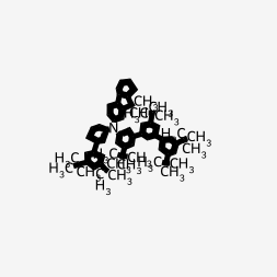 CC(C)(C)c1cc(-c2cc(N(c3cccc(-c4cc(C(C)(C)C)cc(C(C)(C)C)c4)c3)c3ccc4c(c3)C(C)(C)c3ccccc3-4)cc(C(C)(C)C)c2)cc(-c2cc(C(C)(C)C)cc(C(C)(C)C)c2)c1